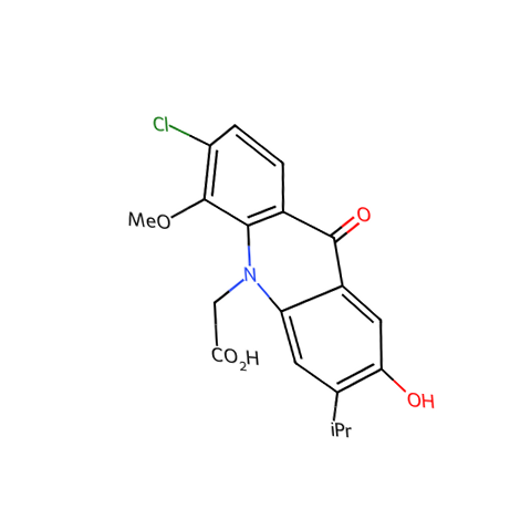 COc1c(Cl)ccc2c(=O)c3cc(O)c(C(C)C)cc3n(CC(=O)O)c12